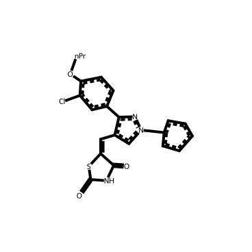 CCCOc1ccc(-c2nn(-c3ccccc3)cc2/C=C2/SC(=O)NC2=O)cc1Cl